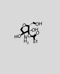 CCC(=O)O[C@]1(O)[C@@H](CO)OC[C@]1(N)O